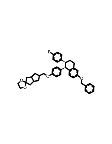 Fc1ccc([C@H]2CCc3cc(OCc4ccccc4)ccc3[C@H]2c2ccc(OCC3CC4CC5(CC4C3)OCCO5)cc2)cc1